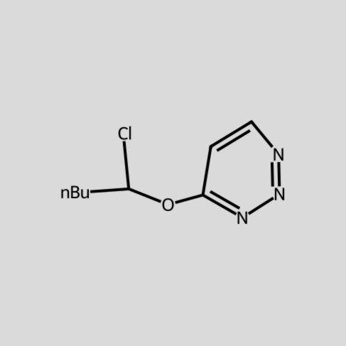 CCCCC(Cl)Oc1ccnnn1